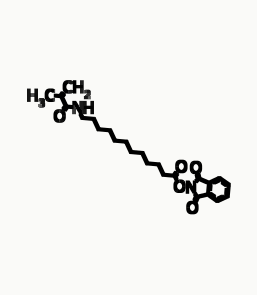 C=C(C)C(=O)NCCCCCCCCCCCC(=O)ON1C(=O)c2ccccc2C1=O